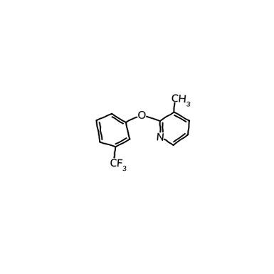 Cc1cccnc1Oc1cccc(C(F)(F)F)c1